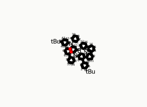 CC(C)(C)c1ccc(-c2cc3c4c(c2)S(c2ccccc2)(c2ccccc2)c2ccccc2B4c2cc(N(c4ccccc4)c4ccc(C(C)(C)C)cc4)ccc2N3c2ccccc2-c2ccccc2)cc1